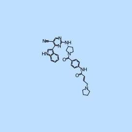 N#Cc1cnc(N[C@@H]2CCN(C(=O)c3ccc(NC(=O)C=CCN4CCCC4)cc3)C2)nc1-c1c[nH]c2ccccc12